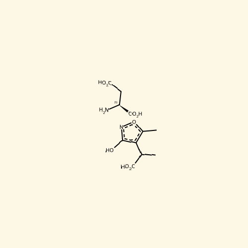 Cc1onc(O)c1C(C)C(=O)O.N[C@@H](CC(=O)O)C(=O)O